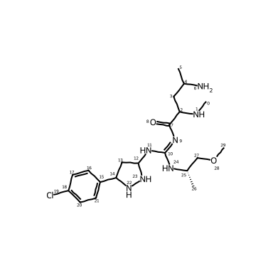 CNC(CC(C)N)C(=O)/N=C(\NC1CC(c2ccc(Cl)cc2)NN1)N[C@@H](C)COC